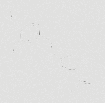 CCC(=O)c1ccc(COc2ccc(CO)c(CO)c2)s1